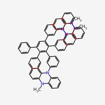 CN1c2ccccc2N(c2cccc(-c3cc(-c4ccccc4)c(-c4ccccc4)c(-c4cccc(N5c6ccccc6N(C)c6ccccc65)c4)c3-c3cccc(N4c5ccccc5N(C)c5ccccc54)c3)c2)c2ccccc21